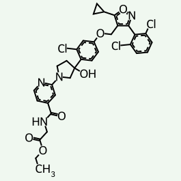 CCOC(=O)CNC(=O)c1ccnc(N2CCC(O)(c3ccc(OCc4c(-c5c(Cl)cccc5Cl)noc4C4CC4)cc3Cl)C2)c1